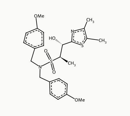 COc1ccc(CN(Cc2ccc(OC)cc2)S(=O)(=O)[C@H](C)[C@H](O)c2nc(C)c(C)s2)cc1